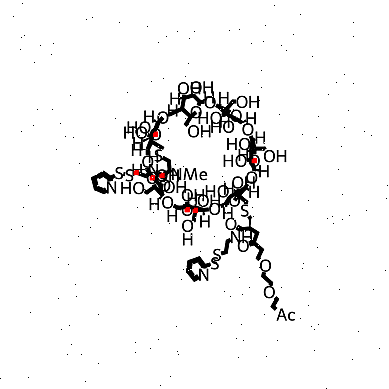 CN[C@H](CSCC1O[C@H]2O[C@@H]3C(CO)O[C@H](O[C@@H]4C(CO)O[C@H](O[C@@H]5C(CO)O[C@H](O[C@@H]6C(CSC[C@@H](CC(=O)CCOCCOCCC(C)=O)C(=O)NCCSSc7ccccn7)O[C@H](O[C@@H]7C(CO)O[C@@H](O[C@@H]8C(CO)O[C@@H](O[C@H]1[C@H](O)C2O)C(O)[C@H]8O)C(O)[C@H]7O)C(O)[C@@H]6O)C(O)[C@H]5O)C(O)[C@H]4O)C(O)[C@H]3O)C(=O)NCCSSc1ccccn1